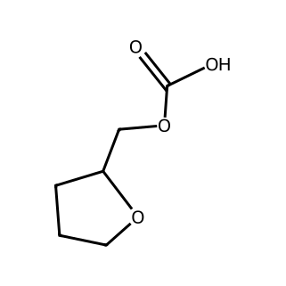 O=C(O)OCC1CCCO1